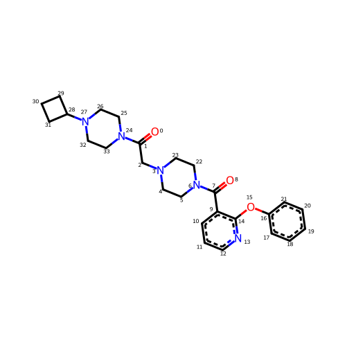 O=C(CN1CCN(C(=O)c2cccnc2Oc2ccccc2)CC1)N1CCN(C2CCC2)CC1